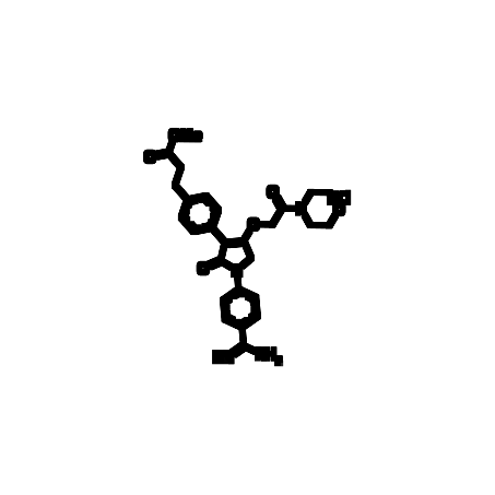 COC(=O)CCc1ccc(C2=C(OCC(=O)N3CCOCC3)CN(c3ccc(C(=N)N)cc3)C2=O)cc1.Cl